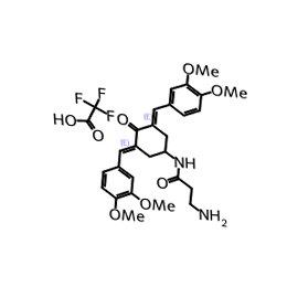 COc1ccc(/C=C2\CC(NC(=O)CCN)C/C(=C\c3ccc(OC)c(OC)c3)C2=O)cc1OC.O=C(O)C(F)(F)F